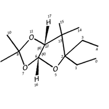 CCC1(CC)O[C@@H]2OC(C)(C)O[C@@H]2C1(C)C